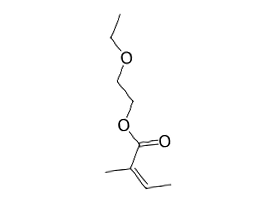 CC=C(C)C(=O)OCCOCC